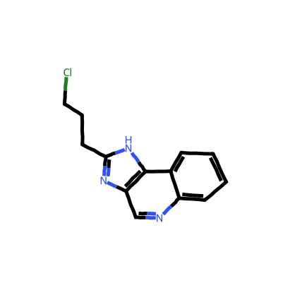 ClCCCc1nc2cnc3ccccc3c2[nH]1